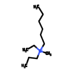 CCCCCC[N+](C)(CC)CCC